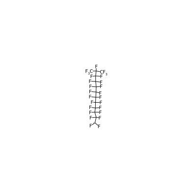 F[C](F)C(F)(F)C(F)(F)C(F)(F)C(F)(F)C(F)(F)C(F)(F)C(F)(F)C(F)(F)C(F)(F)C(F)(C(F)(F)F)C(F)(F)F